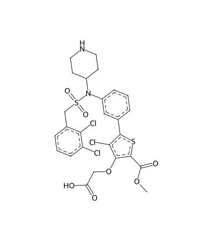 COC(=O)c1sc(-c2cccc(N(C3CCNCC3)S(=O)(=O)Cc3cccc(Cl)c3Cl)c2)c(Cl)c1OCC(=O)O